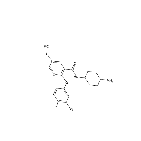 Cl.NC1CCC(NC(=O)c2cc(F)cnc2Oc2ccc(F)c(Cl)c2)CC1